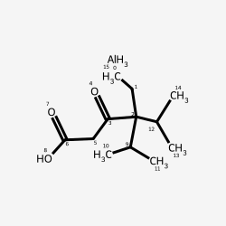 CCC(C(=O)CC(=O)O)(C(C)C)C(C)C.[AlH3]